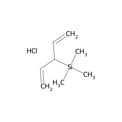 C=CC(C=C)[Si](C)(C)C.Cl